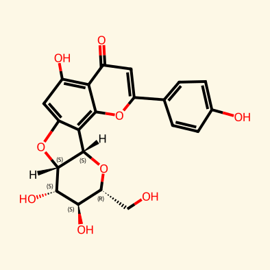 O=c1cc(-c2ccc(O)cc2)oc2c3c(cc(O)c12)O[C@H]1[C@@H](O)[C@H](O)[C@@H](CO)O[C@@H]31